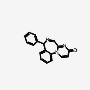 O=c1ccn2c(n1)C=NC(c1ccccc1)c1ccccc1-2